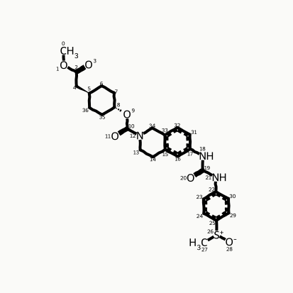 COC(=O)C[C@H]1CC[C@H](OC(=O)N2CCc3cc(NC(=O)Nc4ccc([S+](C)[O-])cc4)ccc3C2)CC1